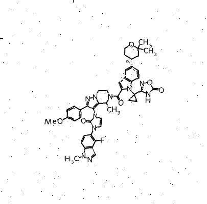 COc1ccc(-c2nn3c(c2-n2ccn(-c4ccc5c(cnn5C)c4F)c2=O)C(C)N(C(=O)c2cc4cc([C@@H]5CCOC(C)(C)C5)ccc4n2C2(c4noc(=O)[nH]4)CC2)CC3)cc1